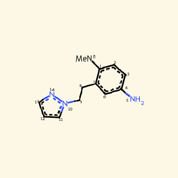 CNc1ccc(N)cc1CCn1cccn1